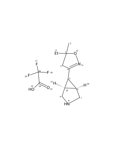 CCC1(C)CC(C2[C@H]3CNC[C@@H]23)=NO1.O=C(O)C(F)(F)F